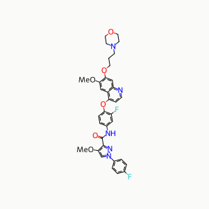 COc1cc2c(Oc3ccc(NC(=O)c4nn(-c5ccc(F)cc5)cc4OC)cc3F)ccnc2cc1OCCCN1CCOCC1